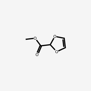 COC(=O)C1OC=CO1